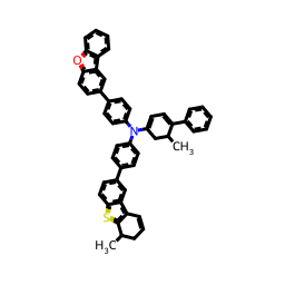 CC1CC(N(c2ccc(-c3ccc4sc5c(c4c3)C=CCC5C)cc2)c2ccc(-c3ccc4oc5ccccc5c4c3)cc2)=CC=C1c1ccccc1